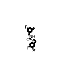 O=C(NCc1cc(F)cc(F)c1)N1CCc2cc(Br)c(F)cc21